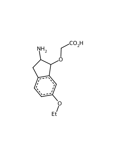 CCOc1ccc2c(c1)C(OCC(=O)O)C(N)C2